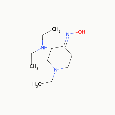 CCN1CCC(=NO)CC1.CCNCC